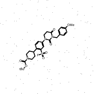 COc1ccc(CN2C(=O)CCN(c3ccc(C4CCN(C(=O)OC(C)(C)C)CC4)c(S(=O)(=O)F)c3)C2=O)cc1